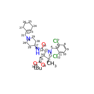 C[C@@H]1CN(Cc2c(Cl)cccc2Cl)C(C(=O)NC2CCN(CC3=CCCCC3)CC2)[C@@H]1CC(=O)OC(C)(C)C